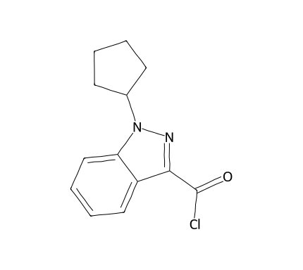 O=C(Cl)c1nn(C2CCCC2)c2ccccc12